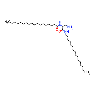 CCCCCCCC/C=C/CCCCCCCC(=O)NC(CN)C(=O)NCCCCCCCCCCCCCCCC